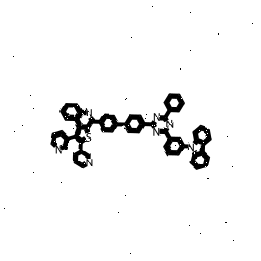 c1ccc(-c2nc(-c3ccc(-c4ccc(-c5nc6ccccc6c6c(-c7cccnc7)c(-c7cccnc7)sc56)cc4)cc3)nc(-c3cccc(-n4c5ccccc5c5ccccc54)c3)n2)cc1